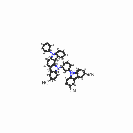 N#Cc1ccc2c(c1)c1cc(C#N)ccc1n2-c1cccc(-n2c3ccc(C#N)cc3c3ccc4c(c5ccccc5n4-c4ccccc4)c32)c1